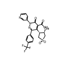 NC(=O)c1c([C@@H]2CS(=O)(=O)C[C@@H]2O)c(-c2ccc(C(F)(F)F)cc2)nn(-c2cccnc2)c1=O